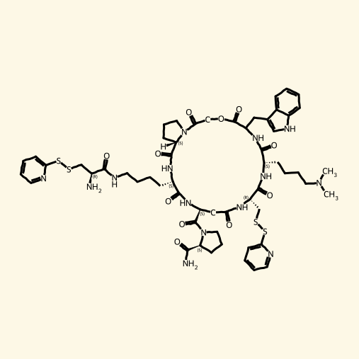 CN(C)CCCC[C@@H]1NC(=O)[C@H](CSSc2ccccn2)NC(=O)C[C@@H](C(=O)N2CCC[C@H]2C(N)=O)NC(=O)[C@H](CCCCNC(=O)[C@@H](N)CSSc2ccccn2)NC(=O)[C@@H]2CCCN2C(=O)COC(=O)C(Cc2c[nH]c3ccccc23)NC1=O